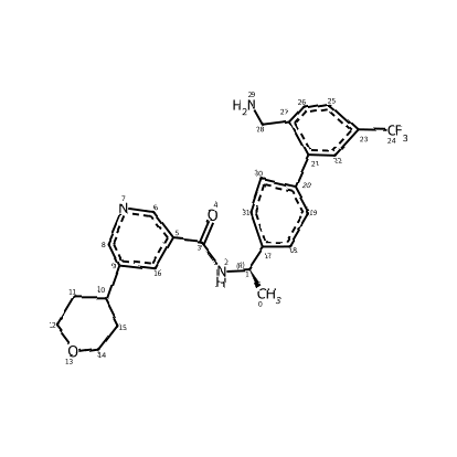 C[C@@H](NC(=O)c1cncc(C2CCOCC2)c1)c1ccc(-c2cc(C(F)(F)F)ccc2CN)cc1